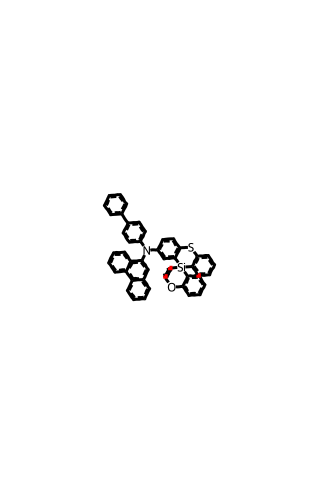 c1ccc(-c2ccc(N(c3ccc4c(c3)[Si]3(c5ccccc5Oc5ccccc53)c3ccccc3S4)c3cc4ccccc4c4ccccc34)cc2)cc1